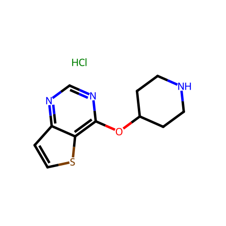 Cl.c1nc(OC2CCNCC2)c2sccc2n1